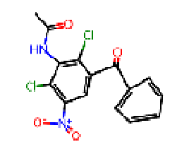 CC(=O)Nc1c(Cl)c(C(=O)c2ccccc2)cc([N+](=O)[O-])c1Cl